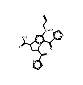 C=CC[S+]([O-])c1cc2n(c1C(=O)c1ccsc1)C(C(=O)c1cccs1)CC2C(=O)O